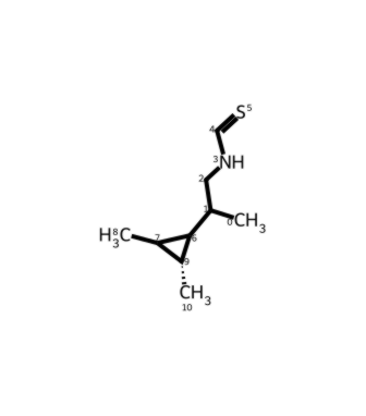 CC(CNC=S)C1C(C)[C@H]1C